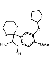 COc1ccc(C2(C(C)CO)SCCCS2)cc1OC1CCCO1